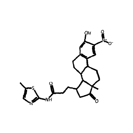 Cc1cnc(NC(=O)CCC2CC(=O)C3(C)CCC4c5cc([N+](=O)[O-])c(O)cc5CCC4C23)s1